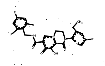 CCc1cc(Cl)ccc1N1CCn2cc(C(=O)NCc3c(F)cc(F)cc3F)c(=O)c(O)c2C1=O